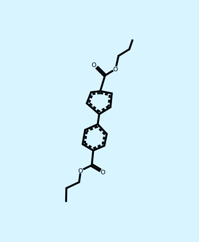 CCCOC(=O)c1ccc(-c2ccc(C(=O)OCCC)cc2)cc1